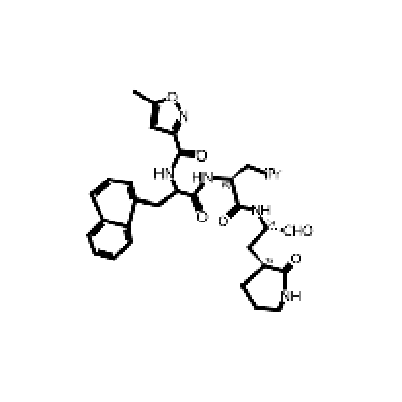 Cc1cc(C(=O)NC(Cc2cccc3ccccc23)C(=O)N[C@@H](CC(C)C)C(=O)N[C@H](C=O)C[C@@H]2CCCNC2=O)no1